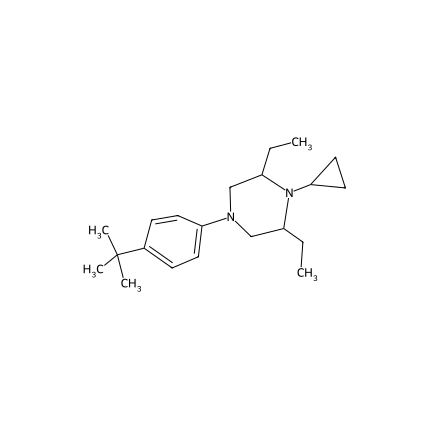 CCC1CN(c2ccc(C(C)(C)C)cc2)CC(CC)N1C1CC1